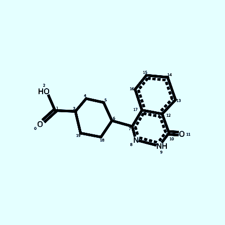 O=C(O)C1CCC(c2n[nH]c(=O)c3ccccc23)CC1